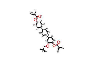 C=C(C)COc1cc(-c2ccc(-c3ccc(OC(=O)C(=C)C)cc3)cc2)ccc1OC(=O)C(=C)C